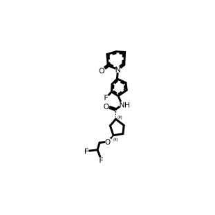 O=C(Nc1ccc(-n2ccccc2=O)cc1F)[C@@H]1CC[C@@H](OCC(F)F)C1